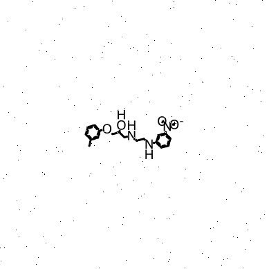 Cc1cccc(OCC(O)CNCCNc2cccc([N+](=O)[O-])c2)c1